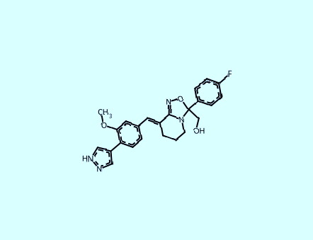 COc1cc(/C=C2\CCCN3C2=NOC3(CO)c2ccc(F)cc2)ccc1-c1cn[nH]c1